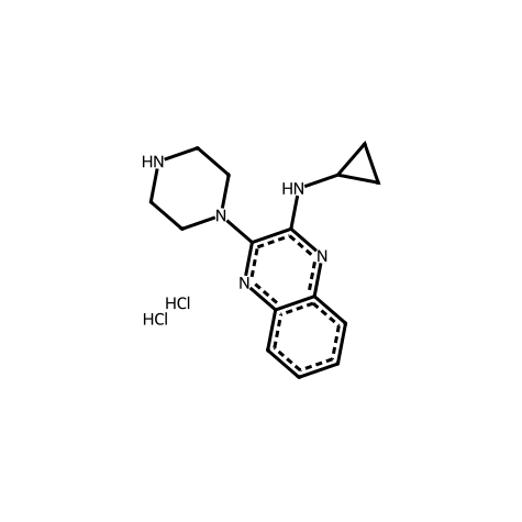 Cl.Cl.c1ccc2nc(N3CCNCC3)c(NC3CC3)nc2c1